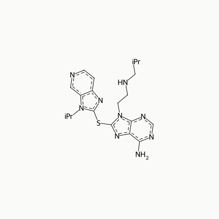 CC(C)CNCCn1c(Sc2nc3ccncc3n2C(C)C)nc2c(N)ncnc21